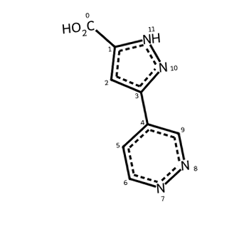 O=C(O)c1cc(-c2ccnnc2)n[nH]1